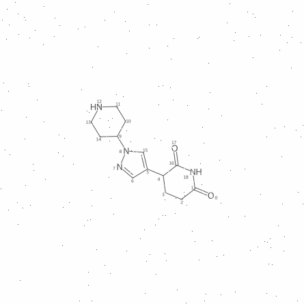 O=C1CCC(c2cnn(C3CCNCC3)c2)C(=O)N1